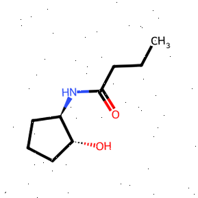 CCCC(=O)N[C@@H]1CCC[C@H]1O